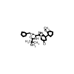 COc1ccccc1-c1cc(Cl)cn2c([C@@H](COCc3ccccc3)NC(=O)C(C)(C)N)nnc12